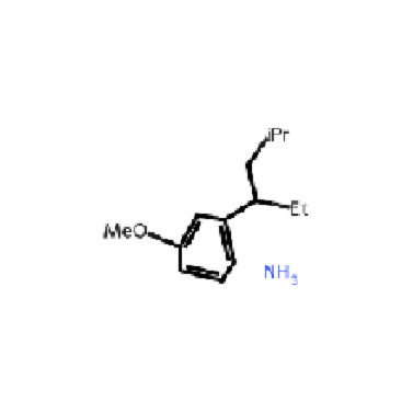 CCC(CC(C)C)c1cccc(OC)c1.N